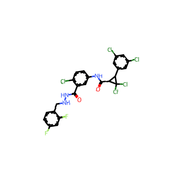 O=C(NNCc1ccc(F)cc1F)c1cc(NC(=O)C2C(c3cc(Cl)cc(Cl)c3)C2(Cl)Cl)ccc1Cl